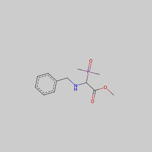 COC(=O)C(NCc1ccccc1)P(C)(C)=O